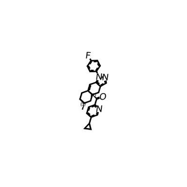 C[C@H]1CCC2=Cc3c(cnn3-c3ccc(F)cc3)C[C@]2(C(=O)c2ccc(C3CC3)cn2)C1